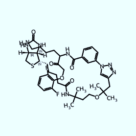 CC(C)(CCOC(C)(C)Cc1cn(-c2cccc(C(=O)NC(CCCCN)C(=O)COc3c(F)cccc3F)c2)nn1)NC(=O)CCCC[C@@H]1SC[C@@H]2NC(=O)N[C@@H]21